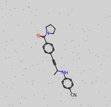 CC(C#Cc1ccc(C(=O)N2CCCC2)cc1)Nc1ccc(C#N)cc1